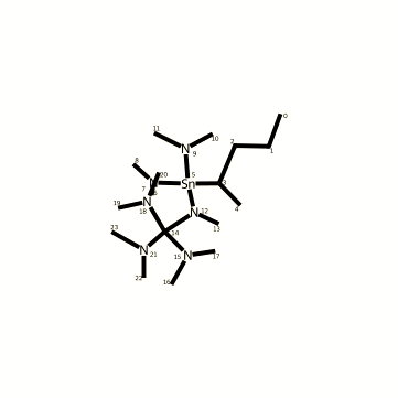 CCC[CH](C)[Sn]([N](C)C)([N](C)C)[N](C)C(N(C)C)(N(C)C)N(C)C